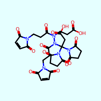 O=C(O)CCN(C(=O)CCN1C(=O)C=CC1=O)N(C(=O)CCN1C(=O)C=CC1=O)C(CC(=O)O)(N1C(=O)CCC1=O)N1C(=O)CCC1=O